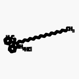 CCCCCCCCCCCCCCCCCCCC(N)C(CC)(c1ccccc1)c1ccccc1.Cl